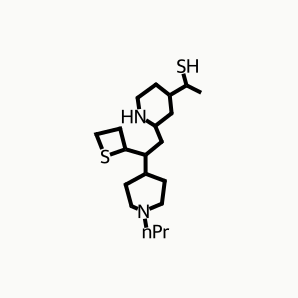 CCCN1CCC(C(CC2CC(C(C)S)CCN2)C2CCS2)CC1